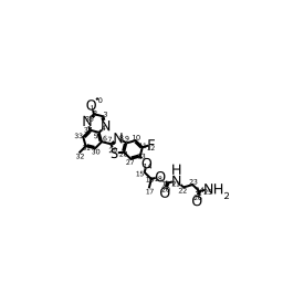 COc1cnc2c(-c3nc4cc(F)c(OCC(C)OC(=O)NCCC(N)=O)cc4s3)cc(C)cc2n1